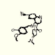 COc1ccc(CNc2c(C(=O)N3CC[C@@H](N(C)C)C3)cnc3ccc(C#N)cc23)cc1Cl